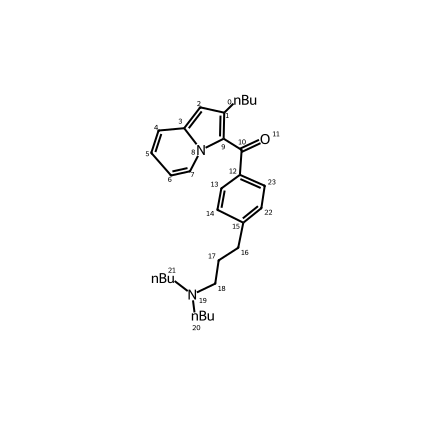 CCCCc1cc2ccccn2c1C(=O)c1ccc(CCCN(CCCC)CCCC)cc1